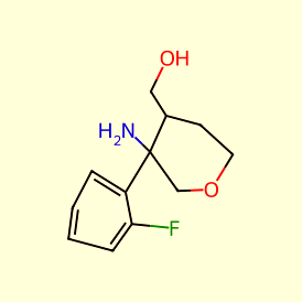 NC1(c2ccccc2F)COCCC1CO